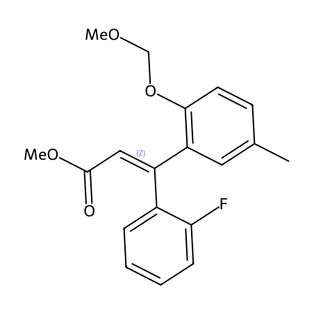 COCOc1ccc(C)cc1/C(=C/C(=O)OC)c1ccccc1F